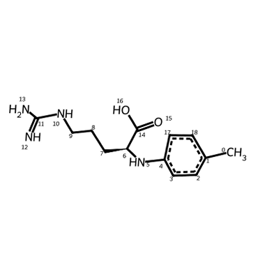 Cc1ccc(N[C@@H](CCCNC(=N)N)C(=O)O)cc1